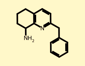 NC1CCCc2ccc(Cc3ccccc3)nc21